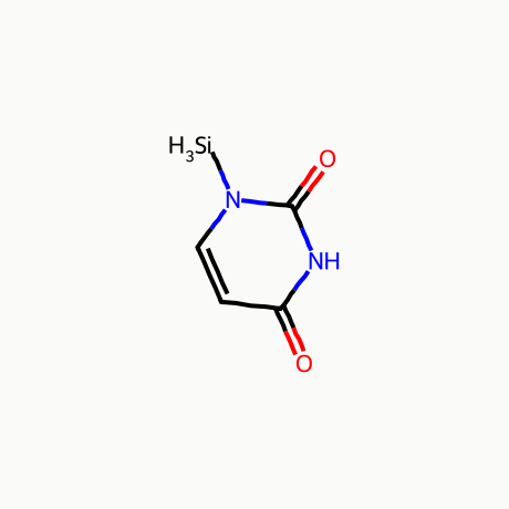 O=c1ccn([SiH3])c(=O)[nH]1